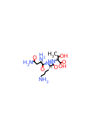 C[C@@H](O)[C@H](NC(=O)[C@H](CCCCN)NC(=O)[C@@H](N)CC(N)=O)C(=O)O